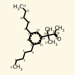 CCCCCc1cc(CCCCC)cc(C(C)(C)C(C)=O)c1